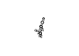 COCOc1c(-c2ncc3cc(N4CCC(N5CCC5)CC4)ccc3n2)cc2cn(C)nc2c1C